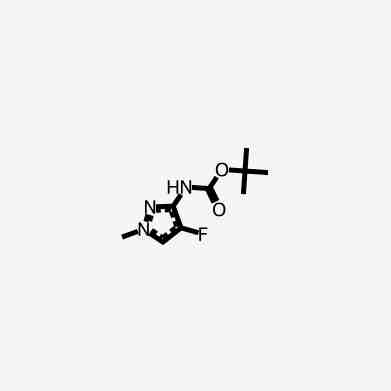 Cn1cc(F)c(NC(=O)OC(C)(C)C)n1